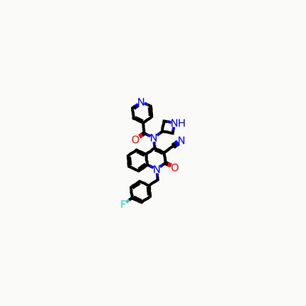 N#Cc1c(N(C(=O)c2ccncc2)C2CNC2)c2ccccc2n(Cc2ccc(F)cc2)c1=O